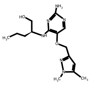 CCC[C@@H](CO)Nc1nc(N)ncc1OCc1cc(C)n(C)n1